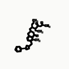 CCCC(CC1CC(=O)c2c(ccc(CC3=CC=C(c4ccccc4)C3)c2C)C1)C(CC)C(=O)CC(C)=O